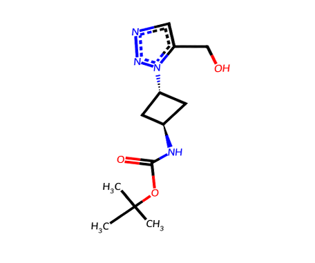 CC(C)(C)OC(=O)N[C@H]1C[C@H](n2nncc2CO)C1